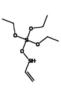 C=C[SiH]O[Si](OCC)(OCC)OCC